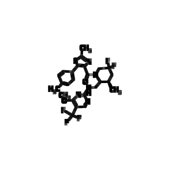 COc1nc(NCC2[C@H](C)CC(F)(F)CN2C(=O)c2nc(C)sc2-c2ccc(C)cc2)ncc1C(F)(F)F